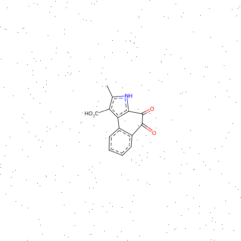 Cc1[nH]c2c(c1C(=O)O)-c1ccccc1C(=O)C2=O